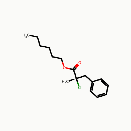 CCCCCCOC(=O)[C@@](C)(Cl)Cc1ccccc1